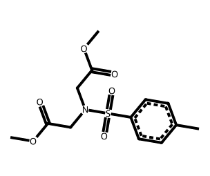 COC(=O)CN(CC(=O)OC)S(=O)(=O)c1ccc(C)cc1